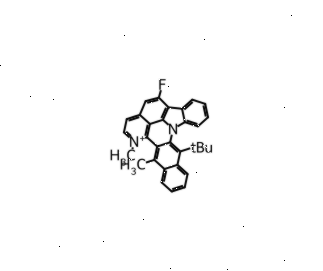 Cc1c2ccccc2c(C(C)(C)C)c2c1c1c3c(cc[n+]1C)cc(F)c1c4ccccc4n2c13